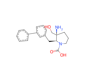 N[C@@]1(CO)CCCN(C(=O)O)[C@H]1Cc1cccc(-c2ccccc2)c1